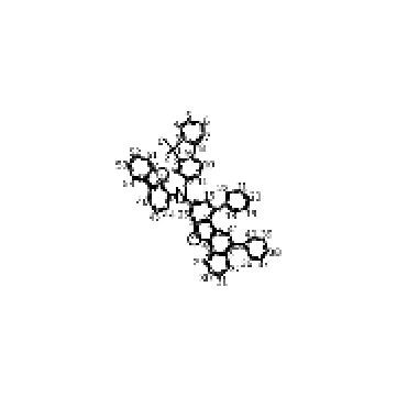 CC1(C)c2ccccc2-c2ccc(N(c3cc(-c4ccccc4)c4c(c3)oc3c5ccccc5c(-c5ccccc5)cc34)c3cccc4c3oc3ccccc34)cc21